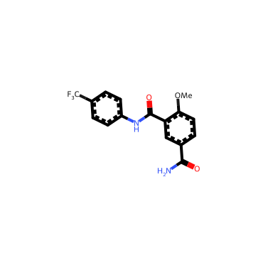 COc1ccc(C(N)=O)cc1C(=O)Nc1ccc(C(F)(F)F)cc1